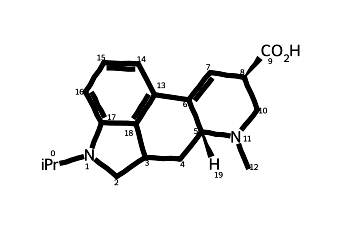 CC(C)N1CC2C[C@@H]3C(=C[C@@H](C(=O)O)CN3C)c3cccc1c32